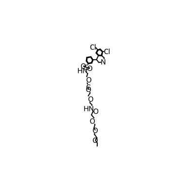 CCOCCOCCOCCC(=O)NCCOCCOCCOCCNS(=O)(=O)c1cccc(C2CN(C)Cc3c(Cl)cc(Cl)cc32)c1